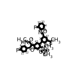 CNC(=O)c1c(-c2ccc(F)cc2)oc2cc(N(C)S(C)(=O)=O)c(-c3cc(-c4nc5c(F)cccc5o4)cc(C(C)F)c3)cc12